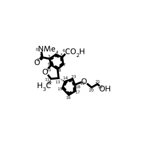 CNC(=O)c1cc(C(=O)O)cc2c1O[C@@H](C)[C@H]2c1cccc(OCCO)c1